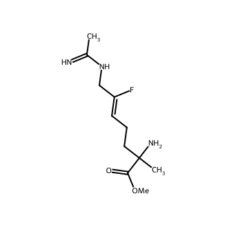 COC(=O)C(C)(N)CCC=C(F)CNC(C)=N